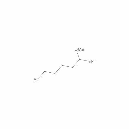 CCCC(CCCCC(C)=O)OC